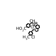 Cc1ccc(CN2CCc3cccc(C(=O)N[C@@H](C)c4ccc(C(=O)O)cc4)c32)cc1Cl